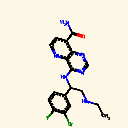 CCNCC(Nc1ncnc2c(C(N)=O)ccnc12)c1ccc(F)c(Br)c1